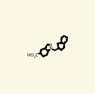 O=C(O)c1ccc2c(cnn2Cc2ccc3ccccc3c2)c1